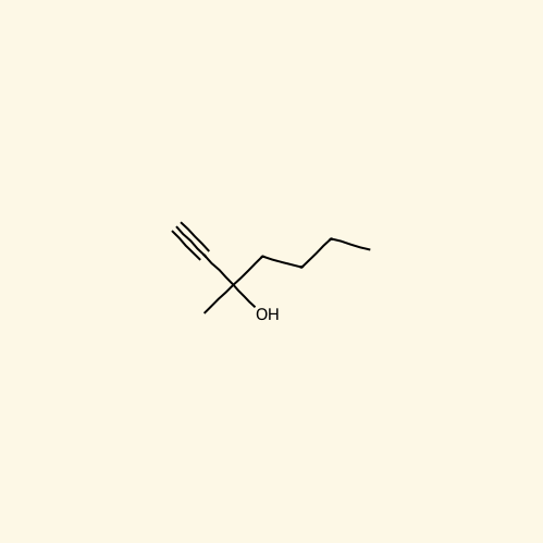 C#CC(C)(O)CCCC